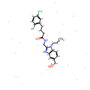 CCCn1c(C[N]C(=O)CCCc2cc(F)ccc2F)nc2cc(CO)ccc21